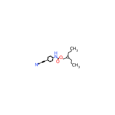 CCCC1C(CCC)C1COC(=O)Nc1ccc(C#CC#N)cc1